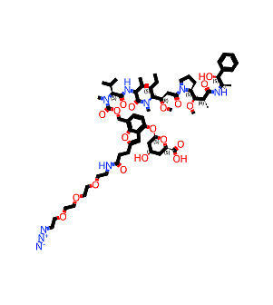 CC[C@H](C)[C@@H]([C@@H](CC(=O)N1CCC[C@H]1[C@H](OC)[C@@H](C)C(=O)N[C@H](C)[C@@H](O)c1ccccc1)OC)N(C)C(=O)C(NC(=O)[C@H](C(C)C)N(C)C(=O)OCc1ccc(O[C@H]2C[C@@H](O)C[C@@H](C(=O)O)O2)c2cc(CCC(=O)NCCOCCOCCOCCN=[N+]=[N-])oc12)C(C)C